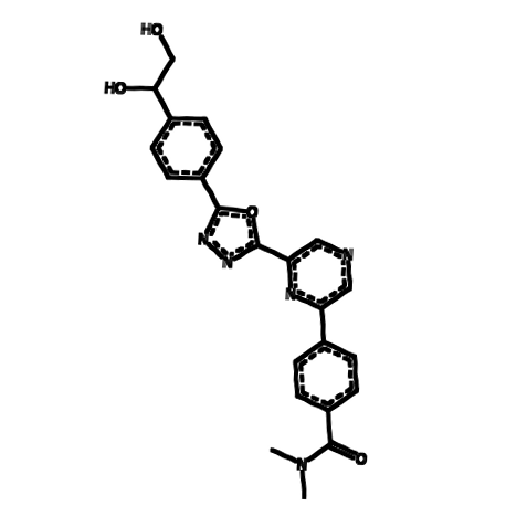 CN(C)C(=O)c1ccc(-c2cncc(-c3nnc(-c4ccc(C(O)CO)cc4)o3)n2)cc1